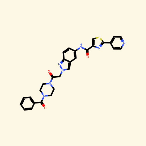 O=C(Nc1ccc2nn(CC(=O)N3CCN(C(=O)c4ccccc4)CC3)cc2c1)c1csc(-c2ccncc2)n1